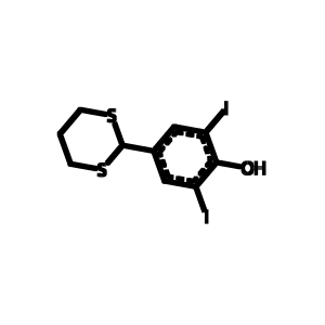 Oc1c(I)cc(C2SCCCS2)cc1I